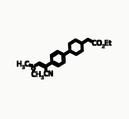 CCOC(=O)CC1CCC(c2ccc(/C(C#N)=C/N(C)C)cc2)CC1